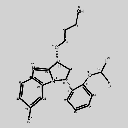 OCCCO[C@@H]1C[C@H](c2ccccc2OC(F)F)n2c1nc1ccc(Br)cc12